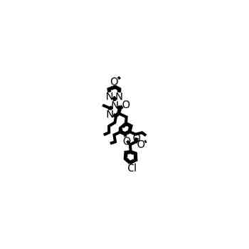 CCCCc1nc(C)n(-c2ncc(OC)cn2)c(=O)c1Cc1cc(CCC)c(OC(C(=O)OC)c2ccc(Cl)cc2)c(CCC)c1